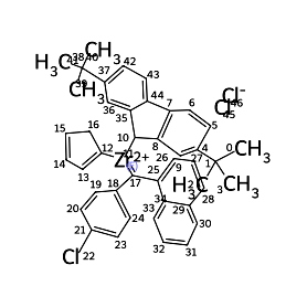 CC(C)(C)c1ccc2c(c1)[CH](/[Zr+2]([C]1=CC=CC1)=[C](/c1ccc(Cl)cc1)c1cccc3ccccc13)c1cc(C(C)(C)C)ccc1-2.[Cl-].[Cl-]